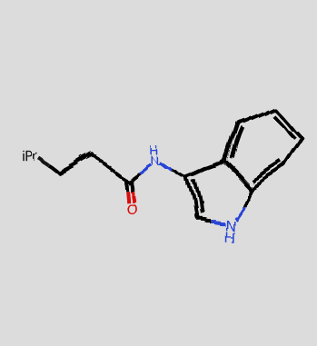 CC(C)CCC(=O)Nc1c[nH]c2ccccc12